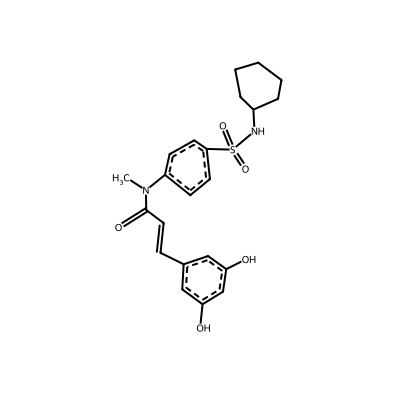 CN(C(=O)/C=C/c1cc(O)cc(O)c1)c1ccc(S(=O)(=O)NC2CCCCC2)cc1